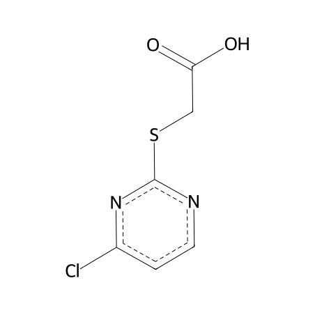 O=C(O)CSc1nccc(Cl)n1